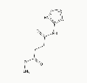 COC(=O)CCC(=O)Nc1nn[c][nH]1